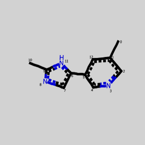 Cc1cncc(-c2cnc(C)[nH]2)c1